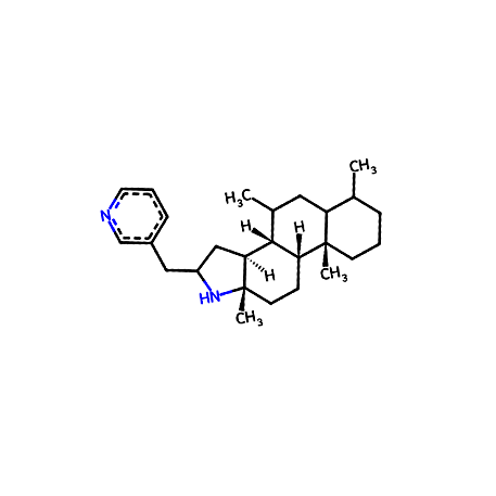 CC1CCC[C@@]2(C)C1CC(C)[C@@H]1[C@H]2CC[C@]2(C)NC(Cc3cccnc3)C[C@@H]12